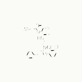 CSc1ncc(Br)c(C(=O)NCCN(Nc2c(Cl)cccc2Cl)C(=O)OCc2ccccc2)n1